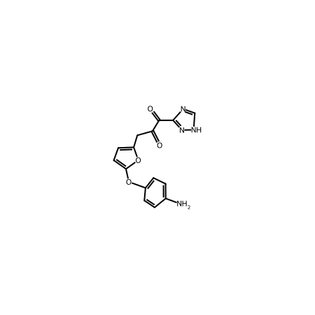 Nc1ccc(Oc2ccc(CC(=O)C(=O)c3nc[nH]n3)o2)cc1